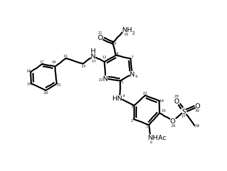 CC(=O)Nc1cc(Nc2ncc(C(N)=O)c(NCCc3ccccc3)n2)ccc1OS(C)(=O)=O